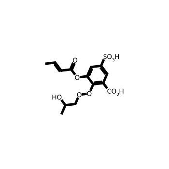 CC=CC(=O)Oc1cc(S(=O)(=O)O)cc(C(=O)O)c1OOCC(C)O